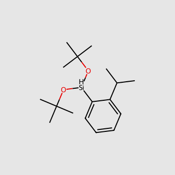 CC(C)c1ccccc1[SiH](OC(C)(C)C)OC(C)(C)C